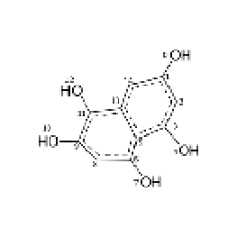 Oc1cc(O)c2c(O)cc(O)c(O)c2c1